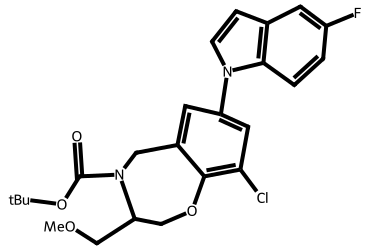 COCC1COc2c(Cl)cc(-n3ccc4cc(F)ccc43)cc2CN1C(=O)OC(C)(C)C